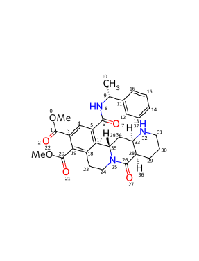 COC(=O)c1cc(C(=O)N[C@H](C)c2ccccc2)c2c(c1C(=O)OC)CCN1C(=O)[C@@H]3CCCN[C@@H]3C[C@@H]21